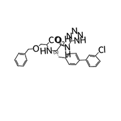 O=C(O)C(COCc1ccccc1)N[C@@H](Cc1ccc(-c2cccc(Cl)c2)cc1)C(=O)Nc1nnn[nH]1